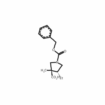 CC[C@H]1CN(C(=O)OCc2ccccc2)C[C@]1(C)C(=O)O